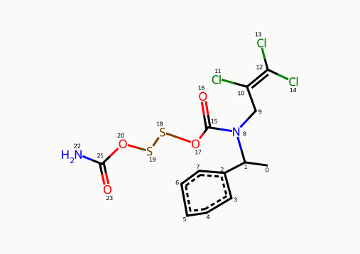 CC(c1ccccc1)N(CC(Cl)=C(Cl)Cl)C(=O)OSSOC(N)=O